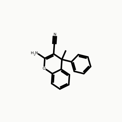 CC1(c2ccccc2)C(C#N)=C(N)Oc2ccccc21